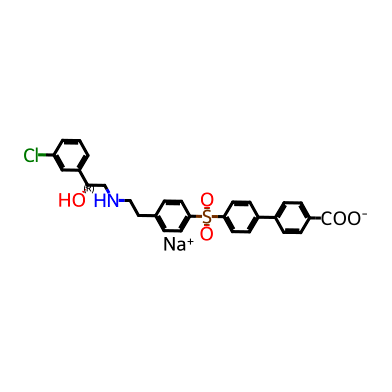 O=C([O-])c1ccc(-c2ccc(S(=O)(=O)c3ccc(CCNC[C@H](O)c4cccc(Cl)c4)cc3)cc2)cc1.[Na+]